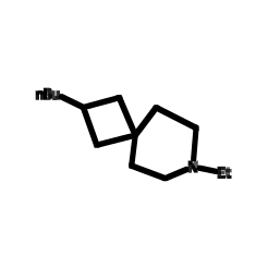 CCCCC1CC2(CCN(CC)CC2)C1